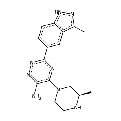 Cc1n[nH]c2ccc(-c3nnc(N)c(N4CCN[C@H](C)C4)n3)cc12